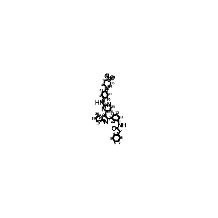 O=C(Cc1ccccc1)Nc1cccc(-c2nc3sccn3c2-c2ccnc(Nc3ccc(N4CCS(=O)(=O)CC4)cc3)n2)c1